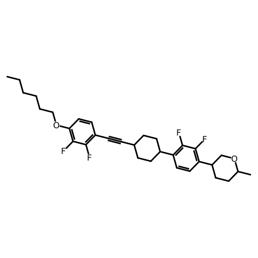 CCCCCCOc1ccc(C#CC2CCC(c3ccc(C4CCC(C)OC4)c(F)c3F)CC2)c(F)c1F